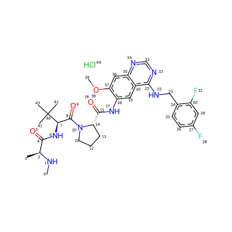 CN[C@@H](C)C(=O)N[C@H](C(=O)N1CCC[C@H]1C(=O)Nc1cc2c(NCc3ccc(F)cc3F)ncnc2cc1OC)C(C)(C)C.Cl